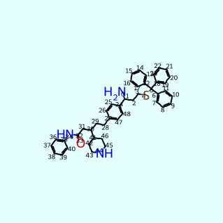 NC(CCSC(c1ccccc1)(c1ccccc1)c1ccccc1)c1ccc(CCC(CC(=O)Nc2ccccc2)C2CCNCC2)cc1